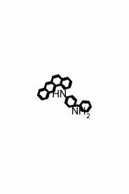 NC1(c2ccccc2)C=CC(Nc2cccc3ccc4cc5ccccc5cc4c23)=CC1